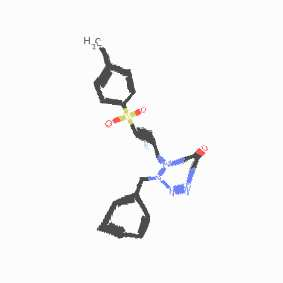 Cc1ccc(S(=O)(=O)/C=C/n2c(=O)nnn2Cc2ccccc2)cc1